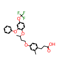 Cc1cc(OCCC(C)Oc2ccc(OC(F)(F)F)cc2Oc2ccccc2)ccc1CCC(=O)O